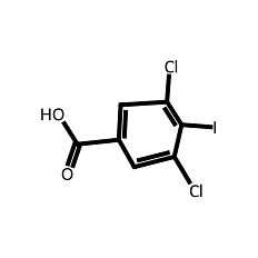 O=C(O)c1cc(Cl)c(I)c(Cl)c1